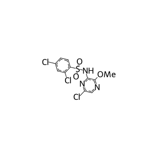 COc1ncc(Cl)nc1NS(=O)(=O)c1ccc(Cl)cc1Cl